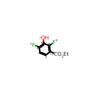 CCOC(=O)c1ccc(F)c(O)c1F